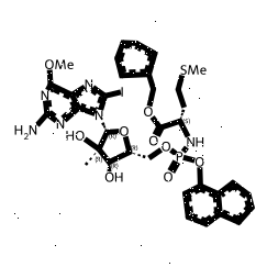 COc1nc(N)nc2c1nc(I)n2[C@@H]1O[C@H](COP(=O)(N[C@@H](CCSC)C(=O)OCc2ccccc2)Oc2cccc3ccccc23)[C@@H](O)[C@@]1(C)O